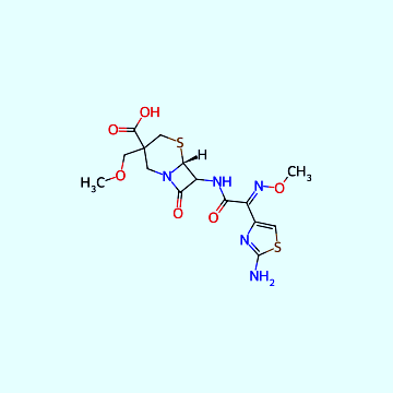 COCC1(C(=O)O)CS[C@@H]2C(NC(=O)C(=NOC)c3csc(N)n3)C(=O)N2C1